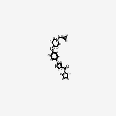 O=C(c1cnn(-c2ccc(OC3CCN(CC4CC4)CC3)cc2)c1)N1CCCC1